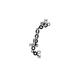 N#Cc1ccc(OC2CCC(NC(=O)c3ccc(N4CCC(N5CCN(Cc6ccc(N7CCC(=O)NC7=O)c(F)c6)CC5)CC4)nn3)CC2)cc1Cl